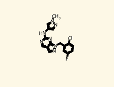 Cn1cc(Nc2ncc3cnn(Cc4cc(F)ccc4Cl)c3n2)cn1